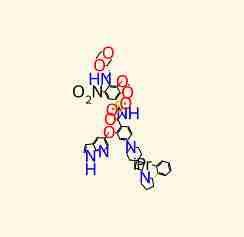 CC(C)c1ccccc1[C@@H]1CCCN1C1CC2(CCN(c3ccc(C(=O)NS(=O)(=O)c4cc([N+](=O)[O-])c(NC[C@H]5COCCO5)c5c4OCO5)c(Oc4cnc5[nH]ccc5c4)c3)CC2)C1